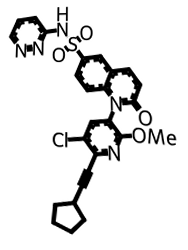 COc1nc(C#CC2CCCC2)c(Cl)cc1-n1c(=O)ccc2cc(S(=O)(=O)Nc3cccnn3)ccc21